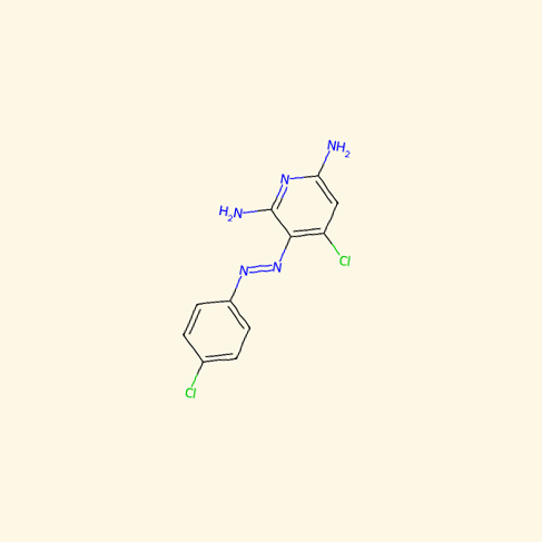 Nc1cc(Cl)c(N=Nc2ccc(Cl)cc2)c(N)n1